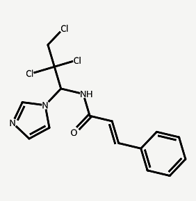 O=C(C=Cc1ccccc1)NC(n1ccnc1)C(Cl)(Cl)CCl